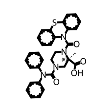 C[C@]1(C(=O)O)CN(C(=O)N(c2ccccc2)c2ccccc2)CCN1C(=O)N1c2ccccc2Sc2ccccc21